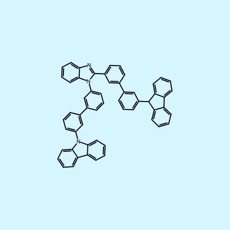 c1cc(-c2cccc(C3c4ccccc4-c4ccccc43)c2)cc(-c2nc3ccccc3n2-c2cccc(-c3cccc(-n4c5ccccc5c5ccccc54)c3)c2)c1